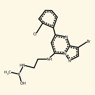 CB(O)NCCNc1cc(-c2ccccc2Cl)nc2c(Br)cnn12